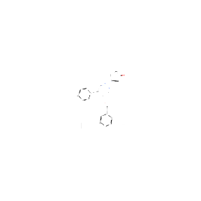 C[C@H]1CC(N2CC(O[C@H](C)c3cc(C(F)(F)F)cc(C(F)(F)F)c3)C(c3ccc(F)cc3)C2)=CC1=O